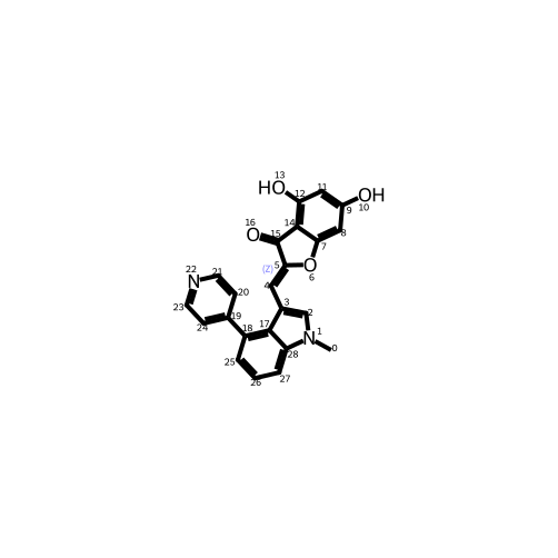 Cn1cc(/C=C2\Oc3cc(O)cc(O)c3C2=O)c2c(-c3ccncc3)cccc21